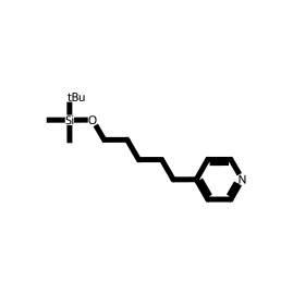 CC(C)(C)[Si](C)(C)OCCCCCc1ccncc1